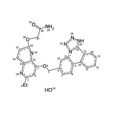 CCc1cc(OCc2ccc(-c3ccccc3-c3nnn[nH]3)cc2)c2nc(OCC(N)=O)ccc2n1.Cl